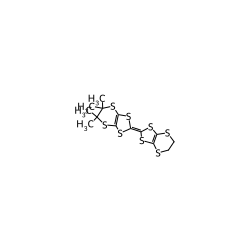 CC1(C)SC2=C(SC(=C3SC4=C(SCCS4)S3)S2)SC1(C)C